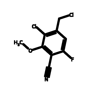 COc1c(Cl)c(CCl)cc(F)c1C#N